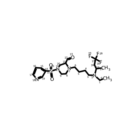 CCN(CCCCN1CCN(S(=O)(=O)c2cccnc2)CC1C=O)C(C)CC(F)(F)F